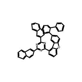 c1ccc(-c2ccccc2-c2ccc3oc4cccc(-c5nc(-c6ccc7ccccc7c6)nc(-c6ccc7ccccc7c6)n5)c4c3c2)cc1